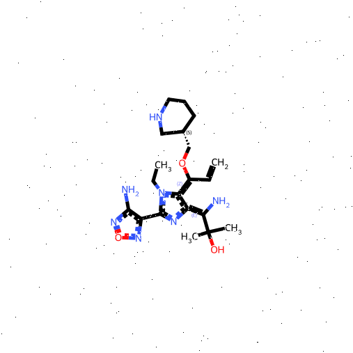 C=C/C(OC[C@H]1CCCNC1)=c1\c(=C(/N)C(C)(C)O)nc(-c2nonc2N)n1CC